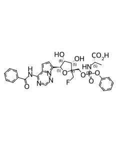 C[C@H](N[P@](=O)(OC[C@@]1(CF)O[C@@H](c2ccc3c(NC(=O)c4ccccc4)ncnn23)[C@H](O)[C@@H]1O)Oc1ccccc1)C(=O)O